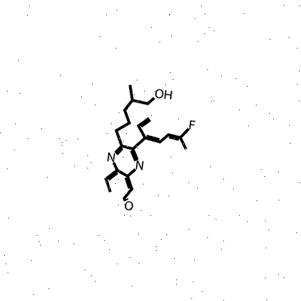 C=C/C(=C\C=C(/C)F)c1nc(=C/C=O)/c(=C\C)nc1CCCC(C)CO